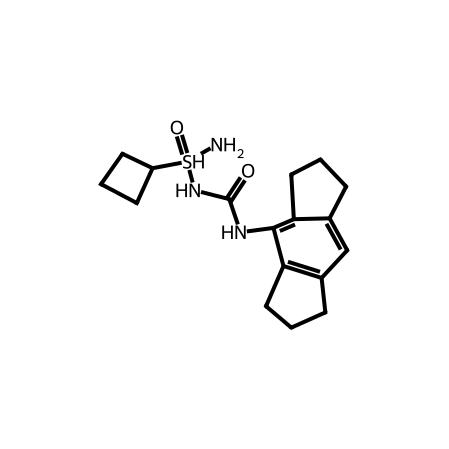 N[SH](=O)(NC(=O)Nc1c2c(cc3c1CCC3)CCC2)C1CCC1